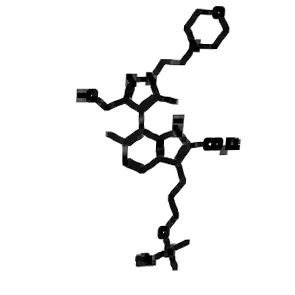 CCOC(=O)c1[nH]c2c(-c3c(CO)nn(CCN4CCOCC4)c3C)c(C)ccc2c1CCCO[Si](C)(C)C(C)(C)C